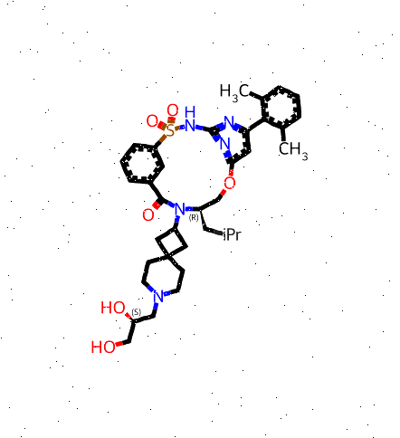 Cc1cccc(C)c1-c1cc2nc(n1)NS(=O)(=O)c1cccc(c1)C(=O)N(C1CC3(CCN(C[C@H](O)CO)CC3)C1)[C@H](CC(C)C)CO2